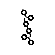 c1ccc(N(Cc2ccc(-c3ccc(CN(c4ccccc4)c4ccccc4)cc3)cc2)c2ccccc2)cc1